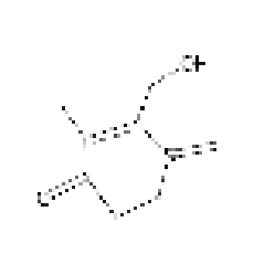 C=S1CCC(=O)C(C)=C1CO